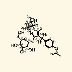 [2H]C([2H])(c1ccc(OC(C)C)cc1)c1c(O[C@@H]2O[C@H](CO)[C@@H](O)[C@H](O)[C@H]2O)nn(C([2H])(C([2H])([2H])[2H])C([2H])([2H])[2H])c1C